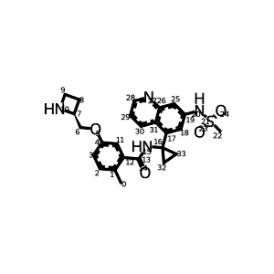 Cc1ccc(OC[C@@H]2CCN2)cc1C(=O)NC1(c2cc(NS(C)(=O)=O)cc3ncccc23)CC1